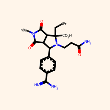 CCCCN1C(=O)C2C(c3ccc(C(=N)N)cc3)N(CCC(N)=O)C(CC(C)C)(C(=O)O)C2C1=O